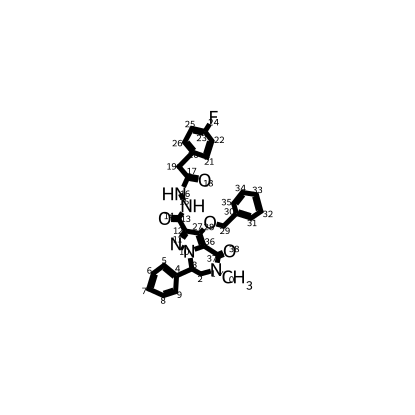 CN1CC(c2ccccc2)n2nc(C(=O)NNC(=O)Cc3ccc(F)cc3)c(OCc3ccccc3)c2C1=O